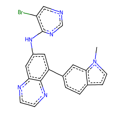 Cn1ccc2ccc(-c3cc(Nc4ncncc4Br)cc4nccnc34)cc21